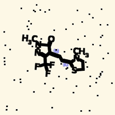 CN1N=C(C(F)(F)F)/C(=C\C=C2\SCCN2C)C1=O